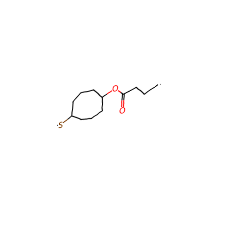 [CH2]CCC(=O)OC1CCCC([S])CCC1